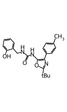 Cc1ccc(-c2nc(C(C)(C)C)oc2NC(=O)NCc2ccccc2O)cc1